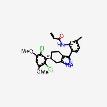 C=CC(=O)Nc1cc(C)ccc1-c1n[nH]c2c1CC[C@@H](c1c(Cl)c(OC)cc(OC)c1Cl)C2